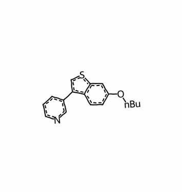 CCCCOc1ccc2c(-c3cccnc3)csc2c1